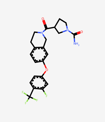 NC(=O)N1CCC(C(=O)N2CCc3ccc(Oc4ccc(C(F)(F)F)c(F)c4)cc3C2)C1